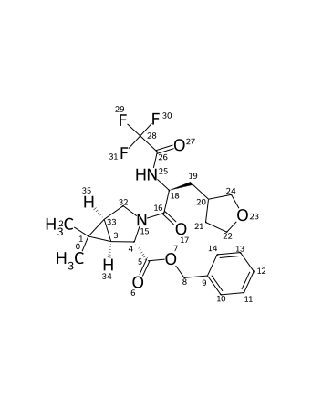 CC1(C)[C@@H]2[C@@H](C(=O)OCc3ccccc3)N(C(=O)[C@H](CC3CCOC3)NC(=O)C(F)(F)F)C[C@@H]21